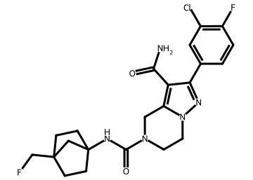 NC(=O)c1c(-c2ccc(F)c(Cl)c2)nn2c1CN(C(=O)NC13CCC(CF)(CC1)C3)CC2